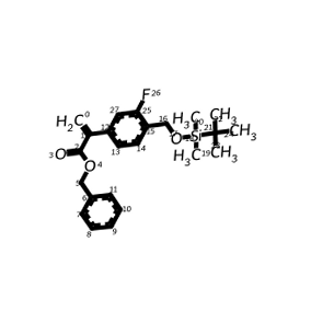 C=C(C(=O)OCc1ccccc1)c1ccc(CO[Si](C)(C)C(C)(C)C)c(F)c1